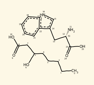 CCCCCC(O)CC(=O)O.N[C@@H](Cc1c[nH]c2ccccc12)C(=O)O